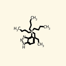 CCCCP(CCCC)(CCCC)(CCCC)c1cccc2[nH]nnc12